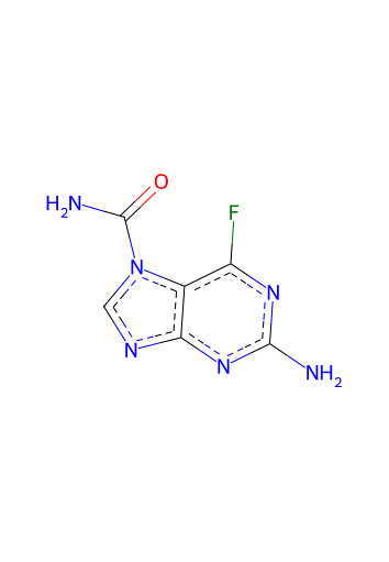 NC(=O)n1cnc2nc(N)nc(F)c21